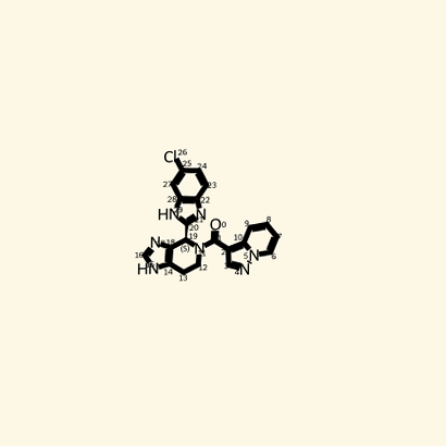 O=C(c1cnn2ccccc12)N1CCc2[nH]cnc2[C@H]1c1nc2ccc(Cl)cc2[nH]1